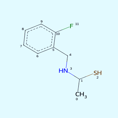 CC(S)NCc1ccccc1F